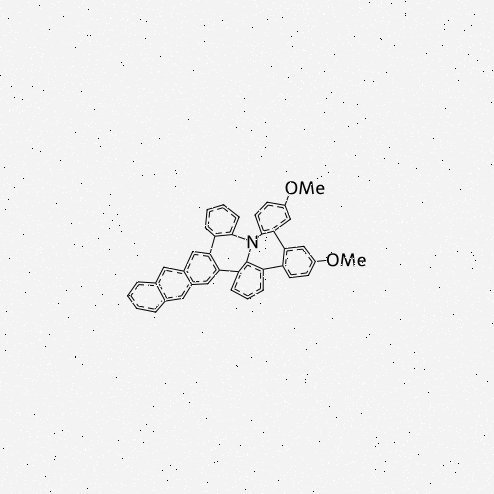 COc1ccc2c(c1)-c1cc(OC)ccc1N1c3ccccc3-c3cc4cc5ccccc5cc4cc3-c3cccc-2c31